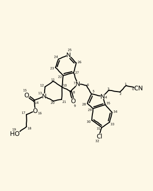 N#CCCCn1c(CN2C(=O)C3(CCN(C(=O)OCCO)CC3)c3ccncc32)cc2cc(Cl)ccc21